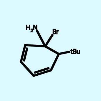 CC(C)(C)C1C=CC=CC1(N)Br